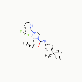 CC(C)C1CN(c2ncccc2C(F)(F)F)CCN1C(=O)Nc1ccc(C(C)(C)C)cc1